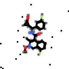 CCON1Cc2c(F)cccc2C(C(=O)N[C@H](c2cccc(F)c2)C2CC2=O)=C1C